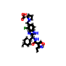 CCc1nocc1C(=O)N[C@H](c1nc2c(F)c(CN3CCC[C@H]3C(=O)O)ccc2[nH]1)[C@H]1CC[C@H](C)CC1